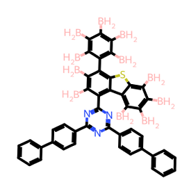 Bc1c(B)c(B)c(-c2c(B)c(B)c(-c3nc(-c4ccc(-c5ccccc5)cc4)nc(-c4ccc(-c5ccccc5)cc4)n3)c3c2sc2c(B)c(B)c(B)c(B)c23)c(B)c1B